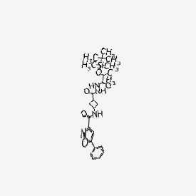 CC(O[Si](C)(C)C(C)(C)C)C(=O)NNC(=O)C1CC(NC(=O)c2cc(-c3ccccc3)on2)C1